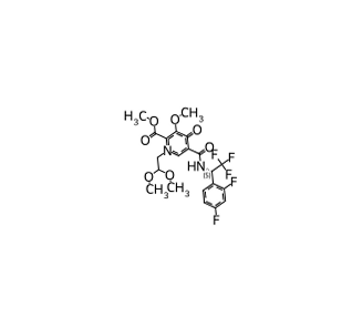 COC(=O)c1c(OC)c(=O)c(C(=O)N[C@@H](c2ccc(F)cc2F)C(F)(F)F)cn1CC(OC)OC